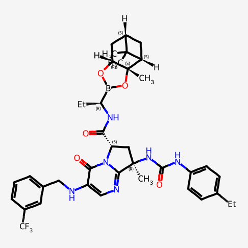 CCc1ccc(NC(=O)N[C@]2(C)C[C@@H](C(=O)N[C@@H](CC)B3O[C@@H]4C[C@@H]5C[C@@H](C5(C)C)[C@]4(C)O3)n3c2ncc(NCc2cccc(C(F)(F)F)c2)c3=O)cc1